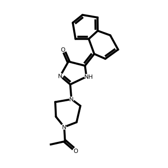 CC(=O)N1CCN(C2=NC(=O)C(=C3C=CCc4ccccc43)N2)CC1